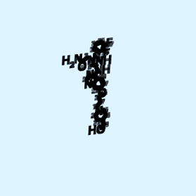 NC(=O)CN1C=C(Nc2ncnc3cc(OCCCN4CCC(CO)CC4)ccc23)NN1c1cccc(F)c1F